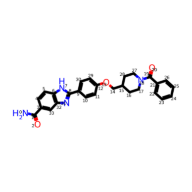 NC(=O)c1ccc2[nH]c(-c3ccc(OCC4CCN(C(=O)c5ccccc5)CC4)cc3)nc2c1